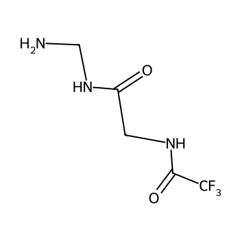 NCNC(=O)CNC(=O)C(F)(F)F